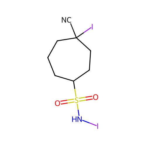 N#CC1(I)CCCC(S(=O)(=O)NI)CC1